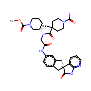 CC(C)(C)OC(=O)N1CCC[C@H](N(CC(=O)Nc2ccc3c(c2)C[C@@]2(C3)C(=O)Nc3ncccc32)C(=O)C2(C)CCN(C(=O)I)CC2)C1